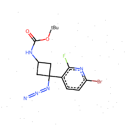 CC(C)(C)OC(=O)NC1CC(N=[N+]=[N-])(c2ccc(Br)nc2F)C1